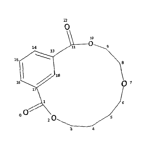 O=C1OCCCCOCCOC(=O)c2cccc1c2